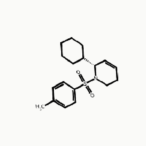 Cc1ccc(S(=O)(=O)N2CCC=C[C@H]2C2CCCCC2)cc1